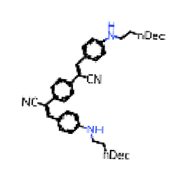 CCCCCCCCCCCCNc1ccc(C=C(C#N)c2ccc(C(C#N)=Cc3ccc(NCCCCCCCCCCCC)cc3)cc2)cc1